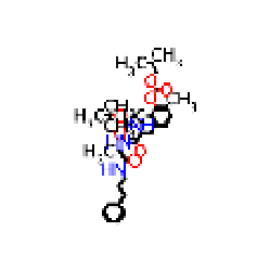 Cc1ccc(CC(NC(=O)OC(C)(C)C)C(=O)N[C@H](C)C(=O)NCCCc2ccccc2)c(C)c1OC(=O)OCC(C)C